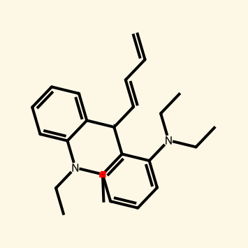 C=CC=C[C](c1ccccc1N(CC)CC)c1ccccc1N(CC)CC